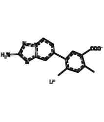 Cc1cc(C)c(-c2ccn3nc(N)nc3c2)cc1C(=O)[O-].[Li+]